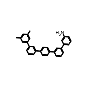 Cc1cc(C)cc(-c2cccc(-c3ccc(-c4cccc(-c5cccc(N)c5)c4)cc3)c2)c1